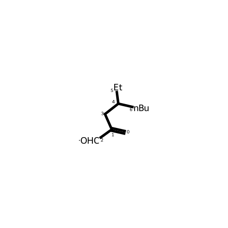 C=C([C]=O)CC(CC)CCCC